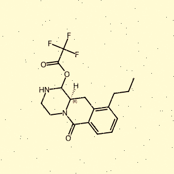 CCCc1cccc2c1C[C@@H]1C(OC(=O)C(F)(F)F)NCCN1C2=O